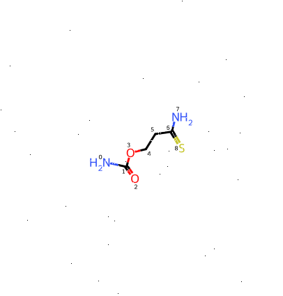 NC(=O)OCCC(N)=S